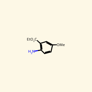 CCOC(=O)c1cc(OC)ccc1N